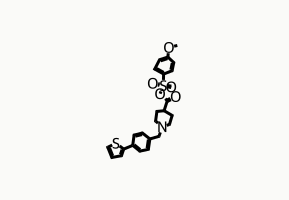 COc1ccc(S(=O)(=O)OC(=O)C2CCN(Cc3ccc(-c4cccs4)cc3)CC2)cc1